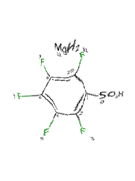 O=S(=O)(O)c1c(F)c(F)c(F)c(F)c1F.[MgH2]